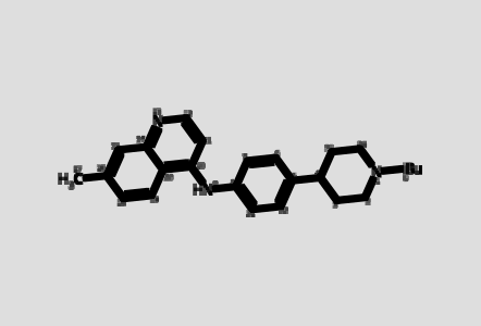 CCC(C)N1CCC(c2ccc(Nc3ccnc4cc(C)ccc34)cc2)CC1